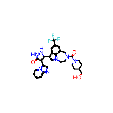 O=C(N1CCC(CO)CC1)N1CCn2cc(-c3[nH][nH]c(=O)c3-c3cnc4ccccn34)c3cc(C(F)(F)F)cc(c32)C1